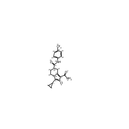 NC(=O)c1c(Cl)c(C2CC2)n2c1CN(C(=O)Nc1ccc(C(F)(F)F)cc1)CC2